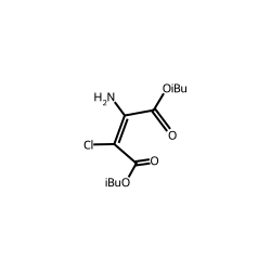 CC(C)COC(=O)/C(N)=C(/Cl)C(=O)OCC(C)C